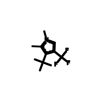 Cc1c(C(C)(C)C)c(C(F)(F)F)cn1C